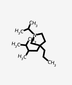 CCCC1(CC(C)C(C)C)CCN(C(C)C)C1